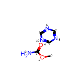 COC(N)=O.c1ncncn1